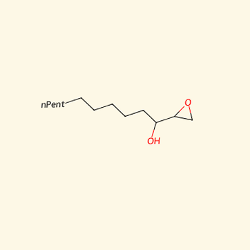 CCCCCCCCCCC(O)C1CO1